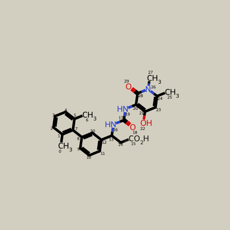 Cc1cccc(C)c1-c1cccc(C(CC(=O)O)NC(=O)Nc2c(O)cc(C)n(C)c2=O)c1